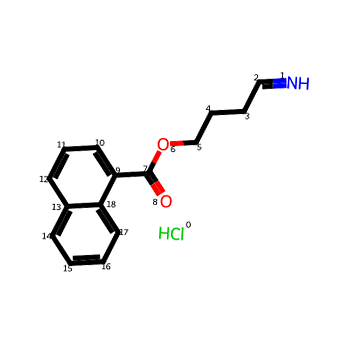 Cl.N=CCCCOC(=O)c1cccc2ccccc12